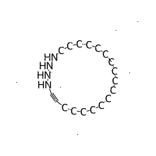 C1#CNNNNCCCCCCCCCCCCCCCC1